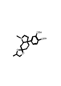 COc1ccc(C23CCN(C)C2CC2(CC3)OCC(C)O2)cc1OC